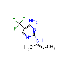 C/C=C(/C)Nc1ncc(C(F)(F)F)c(N)n1